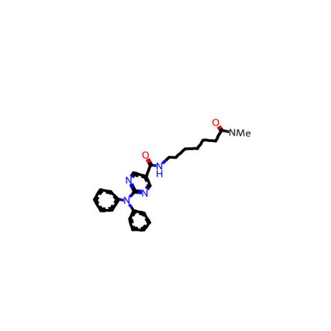 CNC(=O)CCCCCCNC(=O)c1cnc(N(c2ccccc2)c2ccccc2)nc1